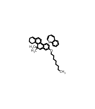 C1=CSc2ccccc2C=C1.CCCCCCCCOc1ccc2c(c1)=CC(C)(C)c1c3c(ccc1=2)=CCCC3